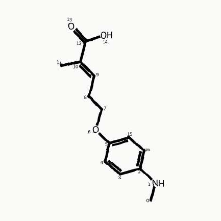 CNc1ccc(OCC/C=C(\C)C(=O)O)cc1